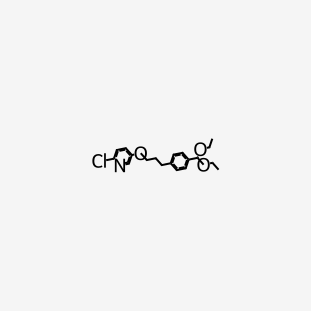 CCOC(OCC)c1ccc(CCCOc2ccc(Cl)nc2)cc1